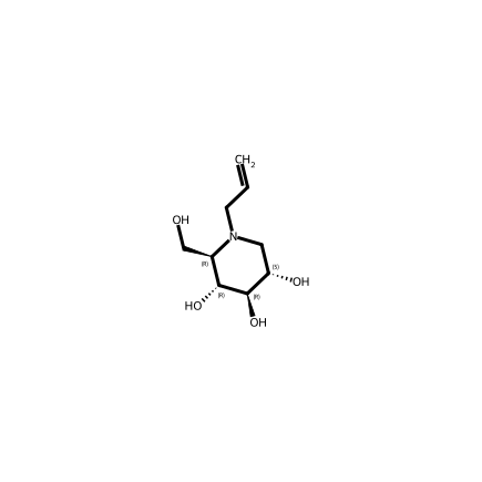 C=CCN1C[C@H](O)[C@@H](O)[C@H](O)[C@H]1CO